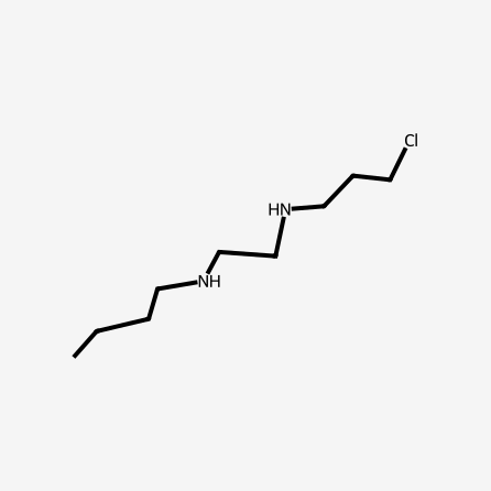 CCCCNCCNCCCCl